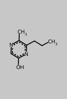 CCCc1nc(O)cnc1C